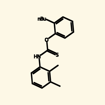 CCCCc1ccccc1OC(=S)Nc1cccc(C)c1C